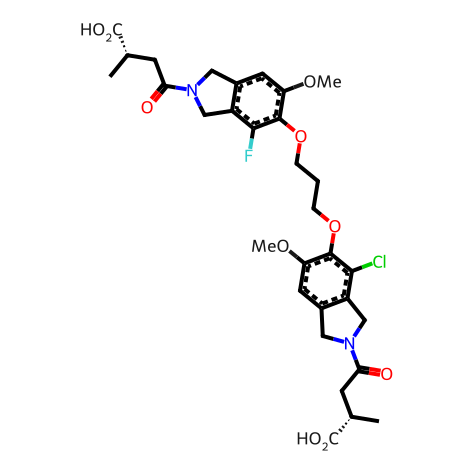 COc1cc2c(c(F)c1OCCCOc1c(OC)cc3c(c1Cl)CN(C(=O)C[C@H](C)C(=O)O)C3)CN(C(=O)C[C@H](C)C(=O)O)C2